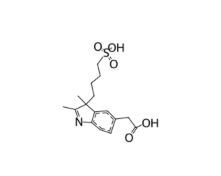 CC1=Nc2ccc(CC(=O)O)cc2C1(C)CCCCS(=O)(=O)O